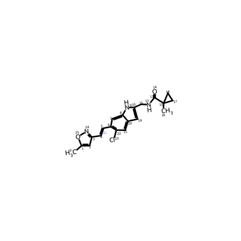 Cc1cc(/C=C/c2cc3[nH]c(CNC(=O)C4(C)CC4)cc3cc2Cl)no1